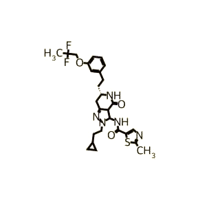 Cc1ncc(C(=O)NC2C3C(=O)N[C@@H](CCc4cccc(OCC(C)(F)F)c4)CC3=NN2CCC2CC2)s1